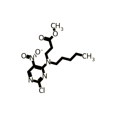 CCCCCN(CCC(=O)OC)c1nc(Cl)ncc1[N+](=O)[O-]